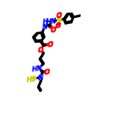 CCCN(S)C(=O)NCCCOC(=O)c1cccc(NC(=O)NS(=O)(=O)c2ccc(C)cc2)c1